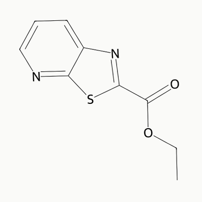 CCOC(=O)c1nc2cccnc2s1